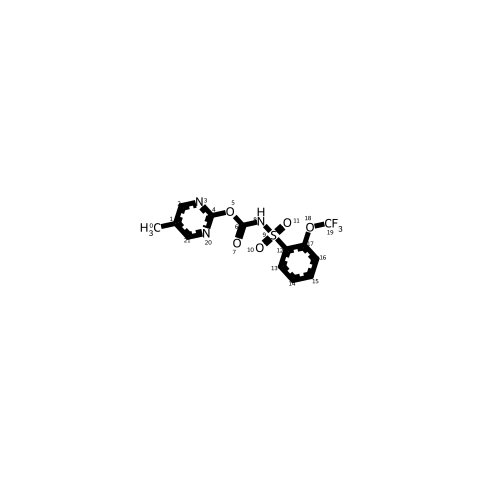 Cc1cnc(OC(=O)NS(=O)(=O)c2ccccc2OC(F)(F)F)nc1